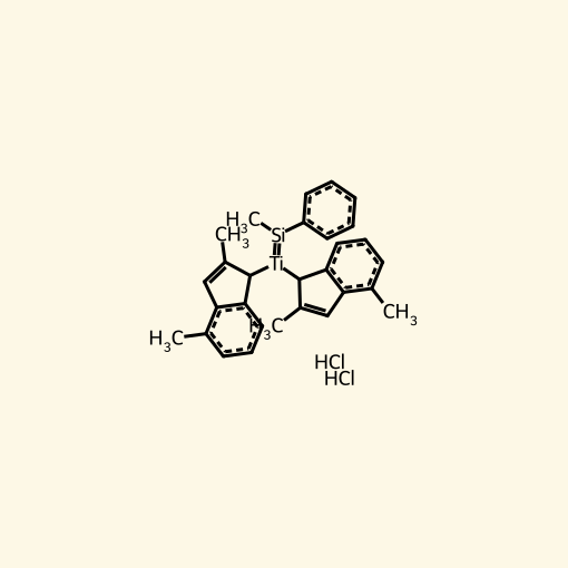 CC1=Cc2c(C)cccc2[CH]1[Ti]([CH]1C(C)=Cc2c(C)cccc21)=[Si](C)c1ccccc1.Cl.Cl